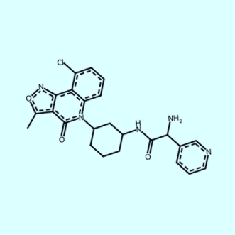 Cc1onc2c1c(=O)n(C1CCCC(NC(=O)C(N)c3cccnc3)C1)c1cccc(Cl)c21